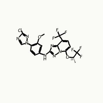 COc1cc(Nc2nc3c(C(F)(F)F)ccc(O[C@@H](C)C(F)(F)F)n3n2)ccc1-n1cnc(Cl)n1